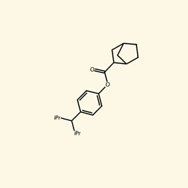 CC(C)C(c1ccc(OC(=O)C2CC3CCC2C3)cc1)C(C)C